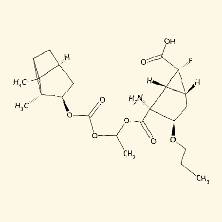 CCCO[C@@H]1C[C@@H]2[C@H]([C@]1(N)C(=O)OC(C)OC(=O)O[C@@H]1C[C@@H]3CC4C3(C)[C@]41C)[C@@]2(F)C(=O)O